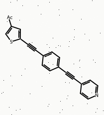 CC(=O)c1csc(C#Cc2ccc(C#Cc3ccncc3)cc2)c1